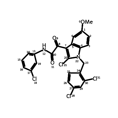 COc1ccc2c(c1)c(C(=O)C(=O)Nc1cccc(Cl)c1)c(Cl)n2Cc1ccc(Cl)cc1Cl